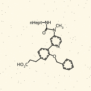 CCCCCCCNC(=O)N(C)c1ccnc(-c2ccc(CCC(=O)O)cc2OCc2ccccc2)c1